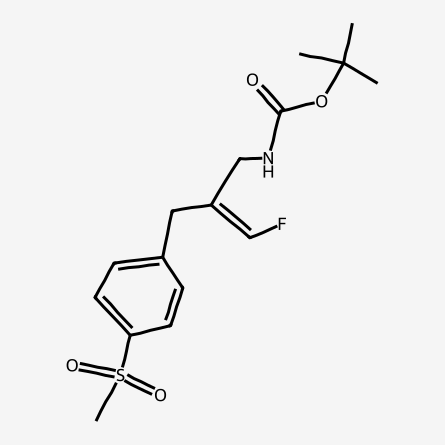 CC(C)(C)OC(=O)NCC(=CF)Cc1ccc(S(C)(=O)=O)cc1